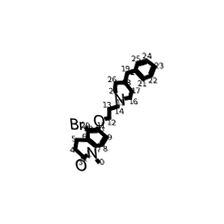 CN1C(=O)CCc2c1ccc(OCCCN1CCC(Cc3ccccc3)CC1)c2Br